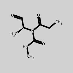 CCC(=O)N(C(=O)NC)[C@@H](C)[C]=O